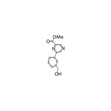 COC(=O)c1cncc(-c2cccc(CO)c2)n1